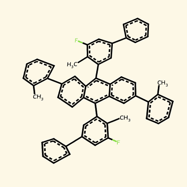 Cc1ccccc1-c1ccc2c(-c3cc(-c4ccccc4)cc(F)c3C)c3cc(-c4ccccc4C)ccc3c(-c3cc(-c4ccccc4)cc(F)c3C)c2c1